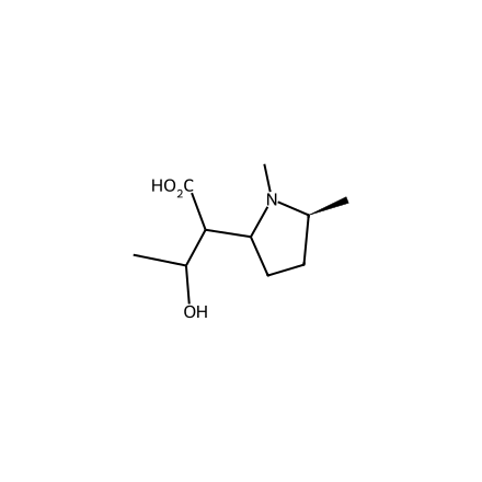 CC(O)C(C(=O)O)C1CC[C@H](C)N1C